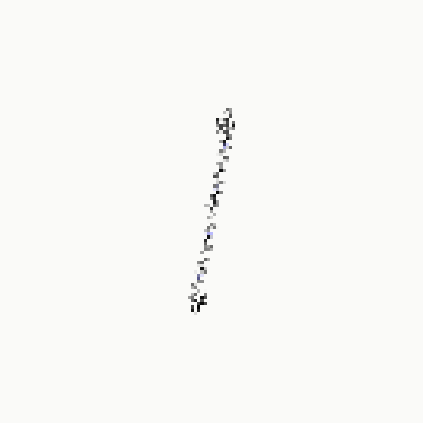 O=C1OCC(C/C=C/CCCCCC/C=C/CCCCCC/C=C/CCCCCC/C=C/CC2COC(=O)O2)O1